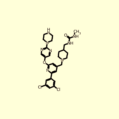 CNC(=O)NCC1CCN(Cc2cc(Oc3cnc(N4CCNCC4)nc3)nc(-c3cc(Cl)cc(Cl)c3)c2)CC1